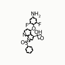 Nc1cc(F)c(Oc2ccnc3c2c(C2(O)COC2)cn3[S+]([O-])c2ccccc2)c(F)c1